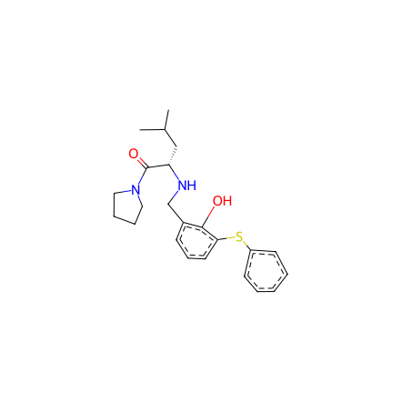 CC(C)C[C@H](NCc1cccc(Sc2ccccc2)c1O)C(=O)N1CCCC1